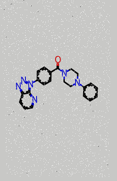 O=C(c1ccc(-n2nnc3cccnc32)cc1)N1CCN(c2ccccc2)CC1